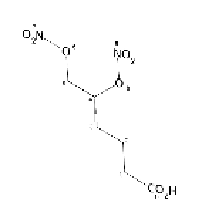 O=C(O)CCC[C@H](CO[N+](=O)[O-])O[N+](=O)[O-]